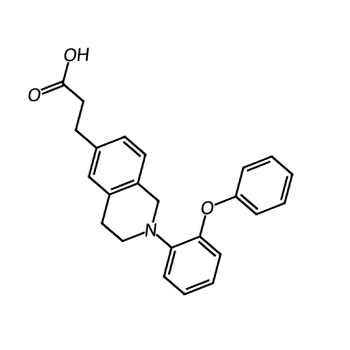 O=C(O)CCc1ccc2c(c1)CCN(c1ccccc1Oc1ccccc1)C2